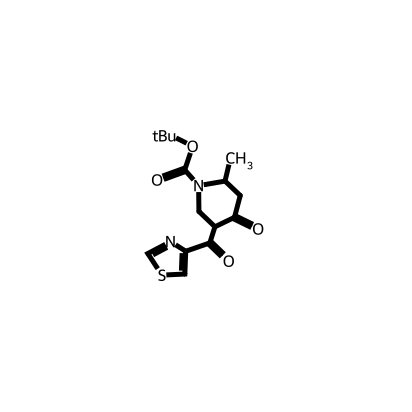 CC1CC(=O)C(C(=O)c2cscn2)CN1C(=O)OC(C)(C)C